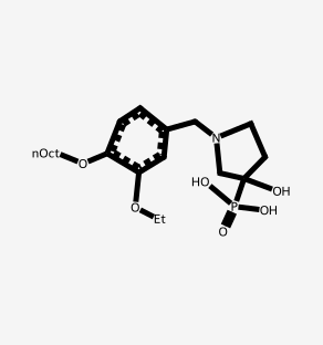 CCCCCCCCOc1ccc(CN2CCC(O)(P(=O)(O)O)C2)cc1OCC